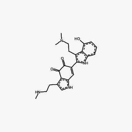 CNCCc1c[nH]c2c1C(=O)C(=O)C(c1[nH]c3cccc(O)c3c1CCN(C)C)=C2